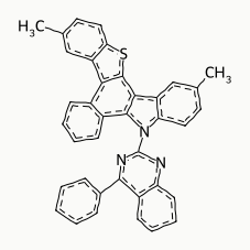 Cc1ccc2sc3c(c2c1)c1ccccc1c1c3c2cc(C)ccc2n1-c1nc(-c2ccccc2)c2ccccc2n1